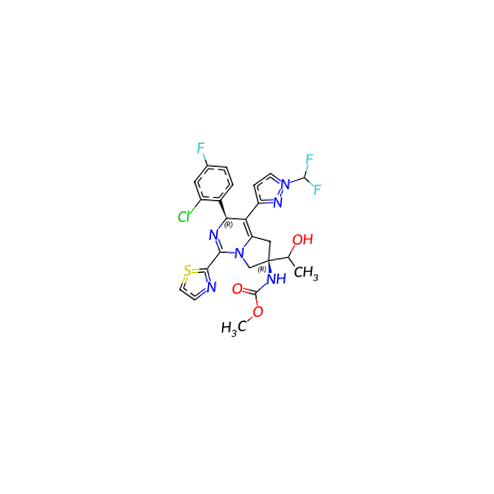 COC(=O)N[C@]1(C(C)O)CC2=C(c3ccn(C(F)F)n3)[C@H](c3ccc(F)cc3Cl)N=C(c3nccs3)N2C1